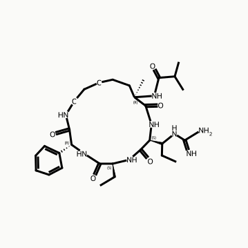 CCC(NC(=N)N)[C@@H]1NC(=O)[C@](C)(NC(=O)C(C)C)CCCCCNC(=O)[C@@H](c2ccccc2)NC(=O)[C@H](CC)NC1=O